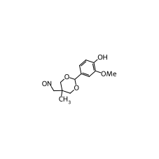 COc1cc(C2OCC(C)(CN=O)CO2)ccc1O